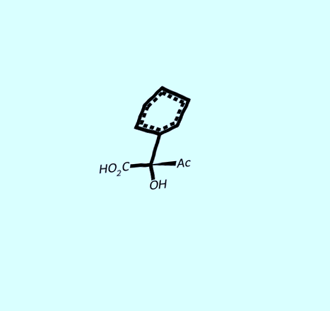 CC(=O)[C@@](O)(C(=O)O)c1ccccc1